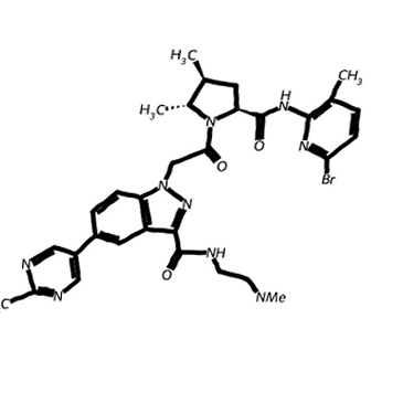 CNCCNC(=O)c1nn(CC(=O)N2[C@H](C)[C@@H](C)C[C@H]2C(=O)Nc2nc(Br)ccc2C)c2ccc(-c3cnc(C)nc3)cc12